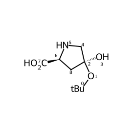 CC(C)(C)O[C@]1(O)CN[C@H](C(=O)O)C1